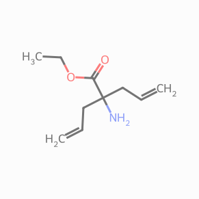 C=CCC(N)(CC=C)C(=O)OCC